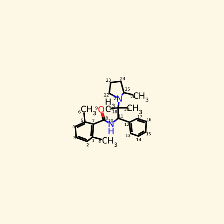 Cc1cccc(C)c1C(=O)NC(c1ccccc1)C(C)(C)N1CCCC1C